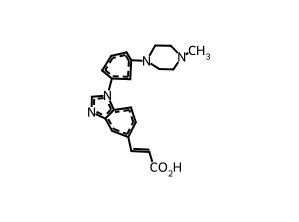 CN1CCN(c2cccc(-n3cnc4cc(/C=C/C(=O)O)ccc43)c2)CC1